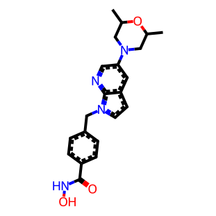 CC1CN(c2cnc3c(ccn3Cc3ccc(C(=O)NO)cc3)c2)CC(C)O1